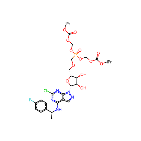 CC(C)OC(=O)OCOP(=O)(COC[C@H]1O[C@@H](n2ncc3c(N[C@@H](C)c4ccc(F)cc4)nc(Cl)nc32)[C@H](O)[C@@H]1O)OCOC(=O)OC(C)C